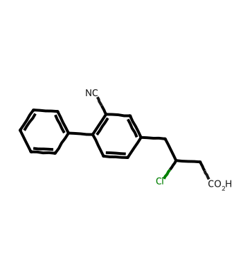 N#Cc1cc(CC(Cl)CC(=O)O)ccc1-c1ccccc1